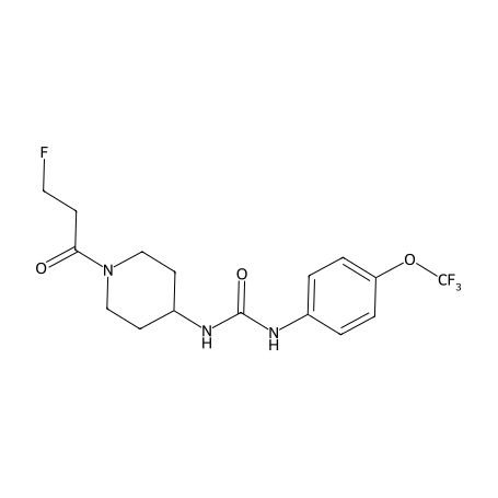 O=C(Nc1ccc(OC(F)(F)F)cc1)NC1CCN(C(=O)CCF)CC1